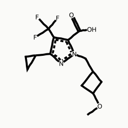 COC1CC(Cn2nc(C3CC3)c(C(F)(F)F)c2C(=O)O)C1